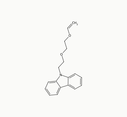 C=COCCOCCn1c2ccccc2c2ccccc21